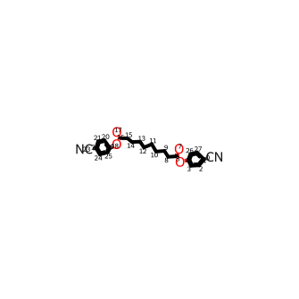 N#Cc1ccc(OC(=O)CCCCCCCCC(=O)Oc2ccc(C#N)cc2)cc1